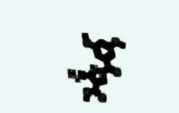 COC(=O)c1cn(C(=O)c2cc(OC)cc(OC)c2)nc1N